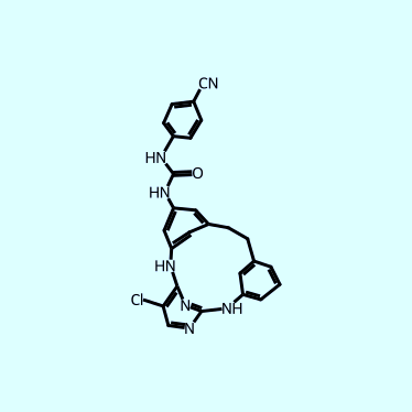 N#Cc1ccc(NC(=O)Nc2cc3cc(c2)Nc2nc(ncc2Cl)Nc2cccc(c2)CC3)cc1